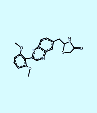 COc1cccc(OC)c1-c1cnc2cc(CC3NC(=O)CS3)ccc2n1